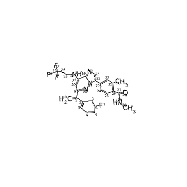 C=C(c1cccc(F)c1)c1cc(NCCC(F)(F)F)c2ncc(-c3ccc(C(=O)NC)c(C)c3)n2n1